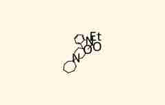 CCN1C(=O)OC2(CCN(C3CCCCCC3)CC2)c2ccccc21